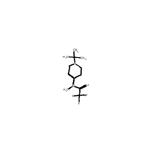 CN(C(=O)C(F)(F)F)C1CCN(C(C)(C)C)CC1